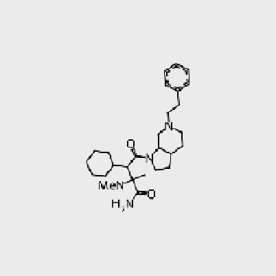 CNC(C)(C(N)=O)C(C(=O)N1CCC2CCN(CCc3ccccc3)CC21)C1CCCCC1